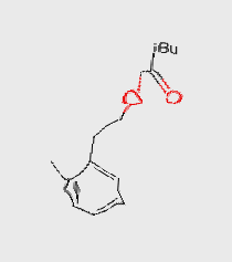 CCC(C)C(=O)OCCc1ccccc1C